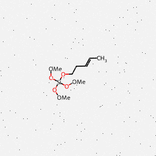 CC=CCCO[Si](OOC)(OOC)OOC